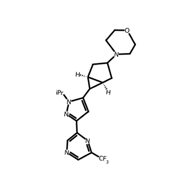 CC(C)n1nc(-c2cncc(C(F)(F)F)n2)cc1C1[C@H]2CC(N3CCOCC3)C[C@@H]12